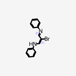 BrC(/C=N/c1ccccc1)=C/Nc1ccccc1